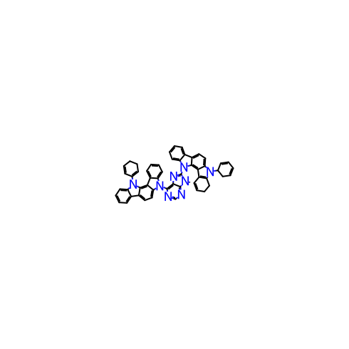 Cn1c(-n2c3ccccc3c3ccc4c(c5c(n4C4C=CC=CC4)CCC=C5)c32)nc2c(-n3c4ccccc4c4c5c(ccc43)c3ccccc3n5C3=CCCC=C3)ncnc21